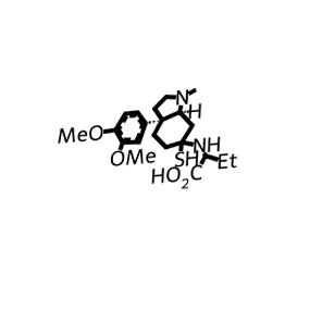 CCC(NC1(S)CC[C@@]2(c3ccc(OC)c(OC)c3)CCN(C)[C@H]2C1)C(=O)O